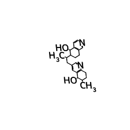 CC1CCc2ncc(CC(C)C3CCc4cnccc4C3O)cc2C1O